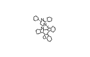 c1ccc(-c2cc(-n3c4ccccc4c4c5oc6ccccc6c5c5c6ccccc6sc5c43)nc(-c3ccccc3)n2)cc1